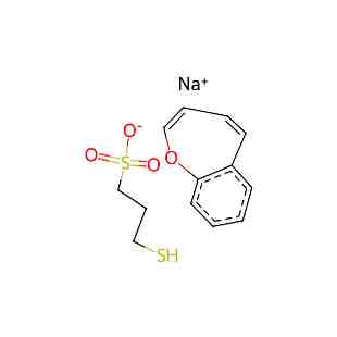 C1=COc2ccccc2C=C1.O=S(=O)([O-])CCCS.[Na+]